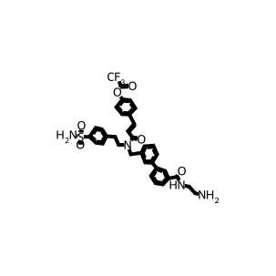 NCCNC(=O)c1cccc(-c2cccc(CN(CCc3ccc(S(N)(=O)=O)cc3)C(=O)/C=C/c3ccc(OC(=O)C(F)(F)F)cc3)c2)c1